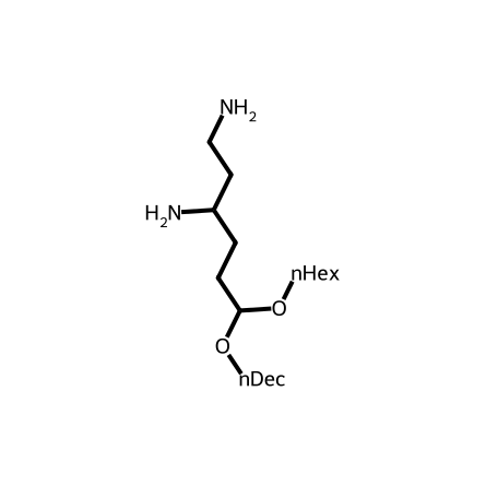 CCCCCCCCCCOC(CCC(N)CCN)OCCCCCC